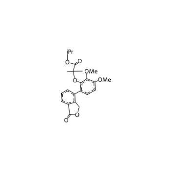 COc1ccc(-c2cccc3c2COC3=O)c(OC(C)(C)C(=O)OC(C)C)c1OC